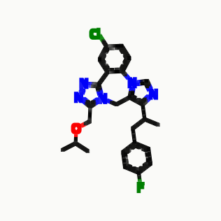 CC(C)OCc1nnc2n1Cc1c(C(C)Cc3ccc(F)cc3)ncn1-c1ccc(Cl)cc1-2